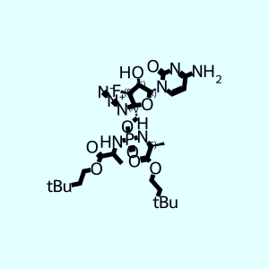 CC(NP(=O)(N[C@@H](C)C(=O)OCCC(C)(C)C)OC[C@@]1(N=[N+]=[N-])O[C@@H](n2ccc(N)nc2=O)[C@H](O)[C@@H]1F)C(=O)OCCC(C)(C)C